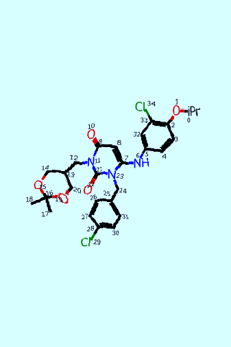 CC(C)Oc1ccc(Nc2cc(=O)n(CC3COC(C)(C)OC3)c(=O)n2Cc2ccc(Cl)cc2)cc1Cl